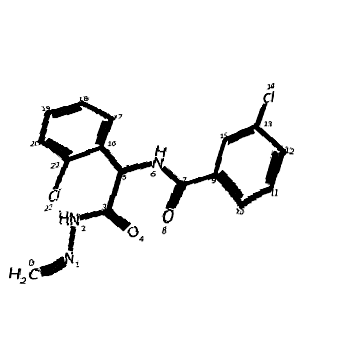 C=NNC(=O)C(NC(=O)c1cccc(Cl)c1)c1ccccc1Cl